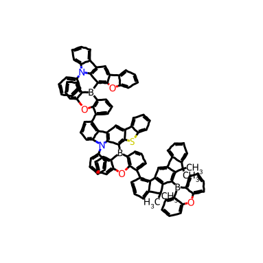 CC1(C)c2ccccc2-c2cc3c(c(B4c5ccccc5Oc5ccccc54)c21)C(C)(C)c1cccc(-c2cccc4c2Oc2ccccc2B4c2c4sc5ccccc5c4cc4c5c(-c6cccc7c6Oc6ccccc6B7c6c7oc8ccccc8c7cc7c8ccccc8n(-c8ccccc8)c67)cccc5n(-c5ccccc5)c24)c1-3